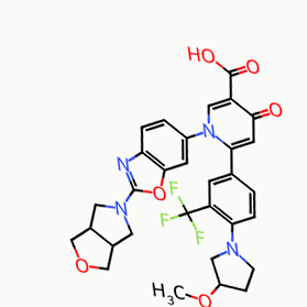 COC1CCN(c2ccc(-c3cc(=O)c(C(=O)O)cn3-c3ccc4nc(N5CC6COCC6C5)oc4c3)cc2C(F)(F)F)C1